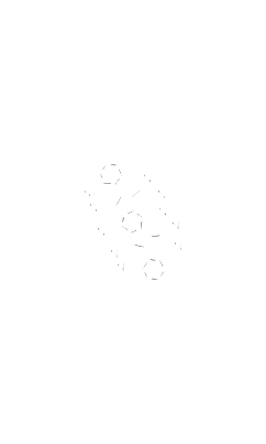 N#CC(C#N)=C1C(c2cc(F)c(F)cc2C#N)=C(C#N)c2c(C#N)c3c(c(C#N)c21)C(=C(C#N)C#N)C(c1cc(F)c(F)cc1C#N)=C3C#N